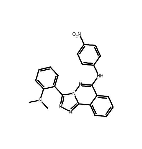 CN(C)c1ccccc1-c1nnc2c3ccccc3c(Nc3ccc([N+](=O)[O-])cc3)nn12